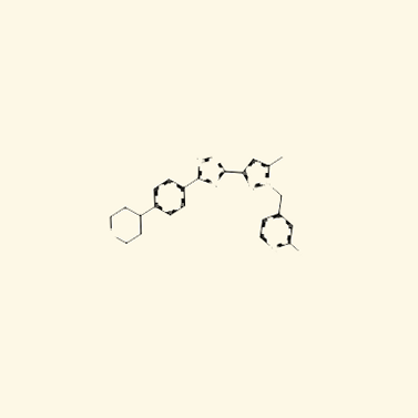 Cc1cc(-c2nc(-c3ccc(C4CCOCC4)cc3)no2)nn1Cc1ccnc(Cl)c1